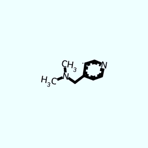 CN(C)Cc1[c]cncc1